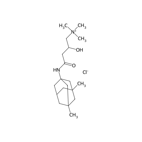 CC12CC3CC(C)(C1)CC(NC(=O)CC(O)C[N+](C)(C)C)(C3)C2.[Cl-]